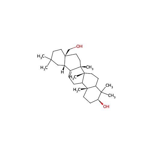 CC1(C)CC[C@]2(CO)CC[C@@]3(C)C(=CCC4[C@@]5(C)CC[C@H](O)C(C)(C)C5CC[C@]43C)[C@@H]2C1